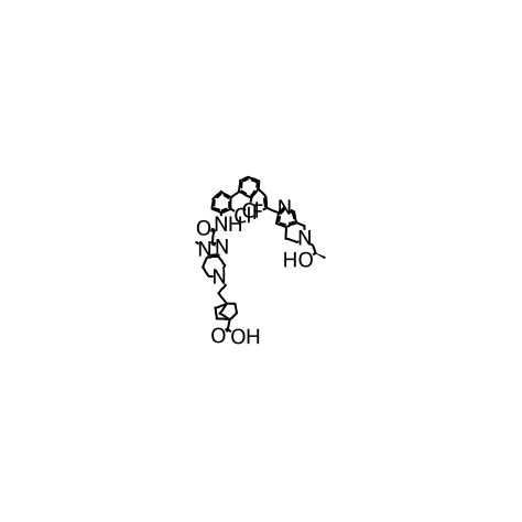 C[C@@H](O)CN1CCc2cc(/C(F)=C/c3cccc(-c4cccc(NC(=O)c5nc6c(n5C)CCN(CCC57CCC(C(=O)O)(CC5)C7)C6)c4Cl)c3Cl)ncc2C1